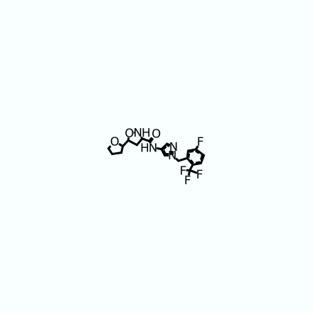 O=C(Nc1cnn(Cc2cc(F)ccc2C(F)(F)F)c1)C1CC(C2CCCO2)ON1